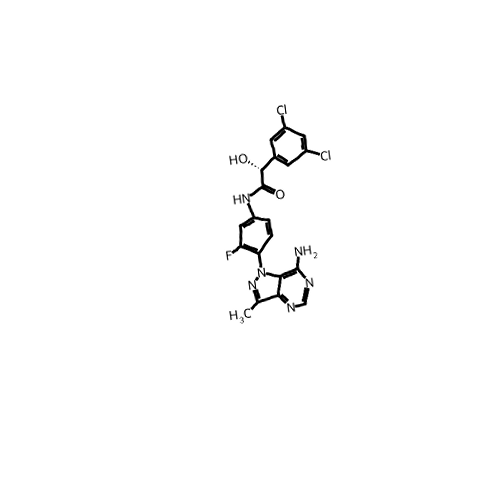 Cc1nn(-c2ccc(NC(=O)[C@H](O)c3cc(Cl)cc(Cl)c3)cc2F)c2c(N)ncnc12